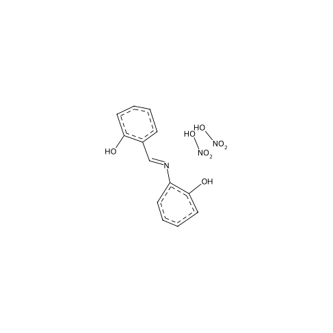 O=[N+]([O-])O.O=[N+]([O-])O.Oc1ccccc1C=Nc1ccccc1O